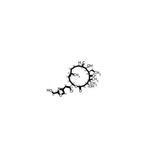 CC[C@H]1C(=O)C(C)(C)[C@@H](O)CC(=O)O[C@H](C(Cl)=Cc2coc(CO)n2)C/C=C(\C)CCCC(C)[C@@H]1O